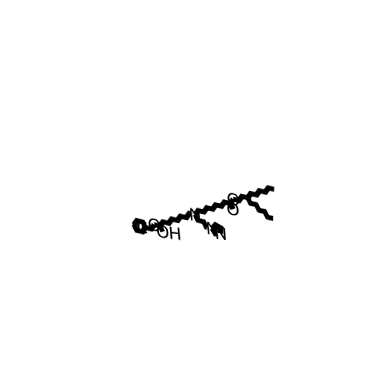 CCCCCCC(CCCCCC)CCOC(=O)CCCCCCCN(CCCCCCCC(O)OCC12CCC(CC1)CC2)CCCn1ccnc1